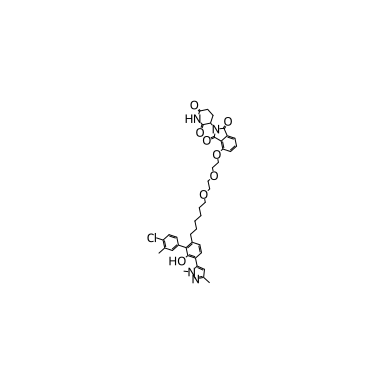 Cc1cc(-c2ccc(CCCCCCOCCOCCOc3cccc4c3C(=O)N(C3CCC(=O)NC3=O)C4=O)c(-c3ccc(Cl)c(C)c3)c2O)n(C)n1